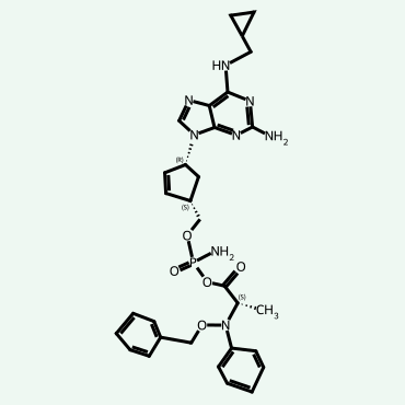 C[C@@H](C(=O)OP(N)(=O)OC[C@@H]1C=C[C@H](n2cnc3c(NCC4CC4)nc(N)nc32)C1)N(OCc1ccccc1)c1ccccc1